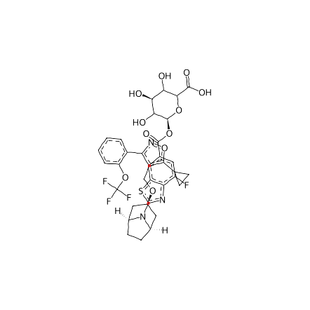 O=C(O[C@@H]1OC(C(=O)O)C(O)[C@H](O)C1O)c1cc(F)c2nc(N3[C@@H]4CC[C@H]3C[C@@H](OCc3c(-c5ccccc5OC(F)(F)F)noc3C3CC3)C4)sc2c1